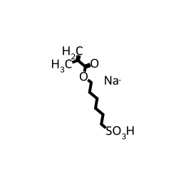 C=C(C)C(=O)OCCCCCCS(=O)(=O)O.[Na]